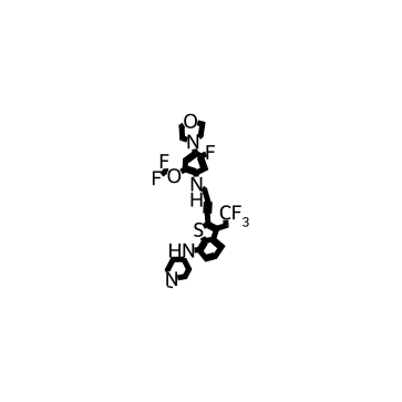 CN1CCC(Nc2cccc3c(CC(F)(F)F)c(C#CCNc4cc(F)c(N5CCOCC5)cc4OC(F)F)sc23)CC1